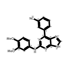 COc1ccc(Nc2nc(-c3cccc(C#N)c3)c3nc[nH]c3n2)cc1OC